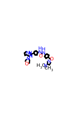 CN(C)[C@@H]1CCN(C(=O)c2ccc(NC(=O)Nc3ccc(-c4nc(N5CCOCC5)c5cccn5n4)cc3)cc2)C1